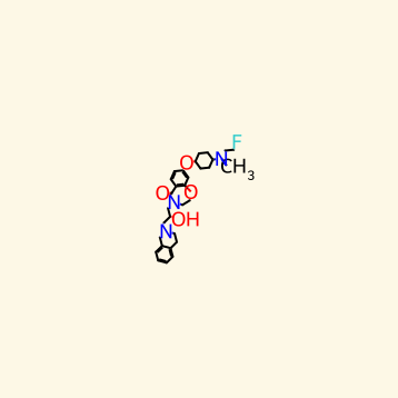 CN(CCF)C1CCC(Oc2ccc3c(c2)OCCN(CC(O)CN2CCc4ccccc4C2)C3=O)CC1